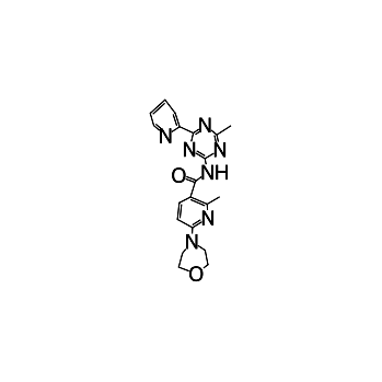 Cc1nc(NC(=O)c2ccc(N3CCOCC3)nc2C)nc(-c2ccccn2)n1